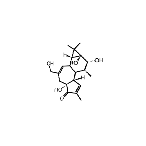 CC1=C[C@H]2C3C(C=C(CO)C[C@]2(O)C1=O)[C@@H]1C(C)(C)[C@]1(O)[C@H](O)[C@H]3C